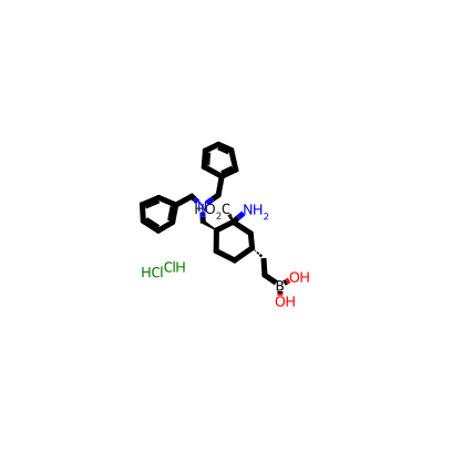 Cl.Cl.N[C@]1(C(=O)O)C[C@H](CCB(O)O)CC[C@H]1CN(Cc1ccccc1)Cc1ccccc1